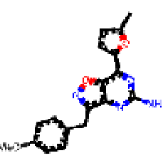 COc1ccc(Cc2noc3c(-c4ccc(C)o4)nc(N)nc23)cc1